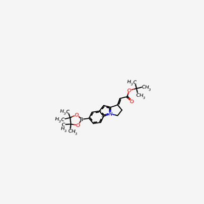 CC(C)(C)OC(=O)C=C1CCn2c1cc1cc(B3OC(C)(C)C(C)(C)O3)ccc12